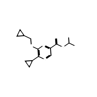 CC(C)(C)C(NC(=O)c1cnc(C2CC2)c(OCC2CC2)n1)C(=O)O